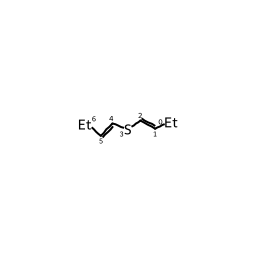 CC/C=C/S/C=C/CC